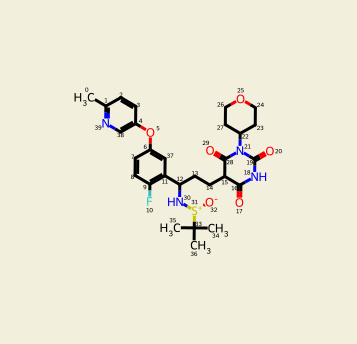 Cc1ccc(Oc2ccc(F)c(C(CCC3C(=O)NC(=O)N(C4CCOCC4)C3=O)N[S@@+]([O-])C(C)(C)C)c2)cn1